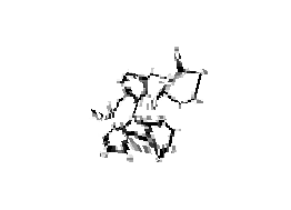 COc1ccc(CN2C(=O)CCCC2=O)cc1-n1c2ccccc2c2ccccc21